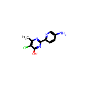 Cc1nc(-c2ccc(N)cn2)nc(O)c1Cl